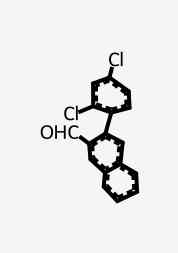 O=Cc1cc2ccccc2cc1-c1ccc(Cl)cc1Cl